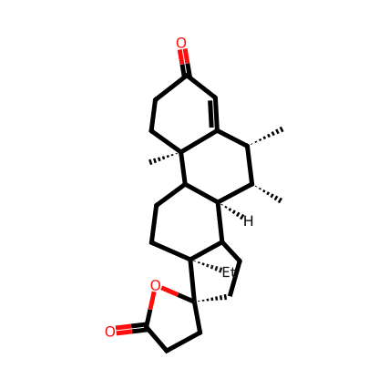 CC[C@]12CCC3[C@H](C1CC[C@@]21CCC(=O)O1)[C@@H](C)[C@@H](C)C1=CC(=O)CC[C@@]13C